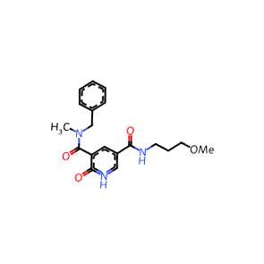 COCCCNC(=O)c1c[nH]c(=O)c(C(=O)N(C)Cc2ccccc2)c1